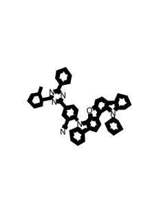 CC1C=CC=CC1c1nc(-c2ccccc2)nc(-c2ccc(-n3c4ccccc4c4ccc5c(oc6ccc7c8ccccc8n(-c8ccccc8)c7c65)c43)c(C#N)c2)n1